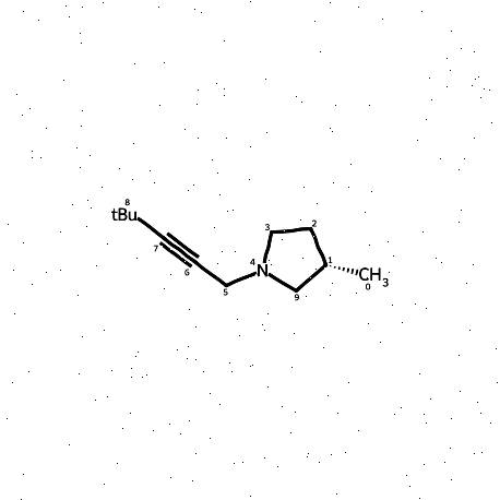 C[C@H]1CCN(CC#CC(C)(C)C)C1